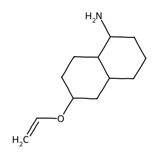 C=COC1CCC2C(N)CCCC2C1